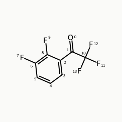 O=C(c1cccc(F)c1F)C(F)(F)F